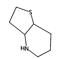 C1CNC2CCSC2C1